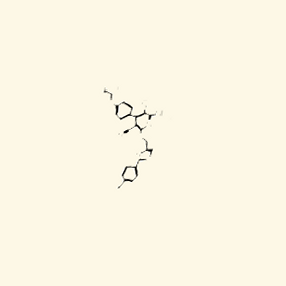 [C-]#[N+]c1c(N)nc(SCc2coc(-c3ccc(Cl)cc3)n2)c(C#N)c1-c1ccc(OC[C@H](C)O)cc1